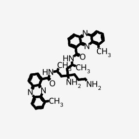 Cc1cccc2nc3cccc(C(=O)NC(C)CC(N)(CCCN)CC(C)NC(=O)c4cccc5nc6cccc(C)c6nc45)c3nc12